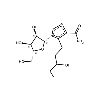 CCC(O)CCc1c(C(N)=O)ncn1[C@@H]1O[C@H](CO)[C@@H](O)[C@H]1O